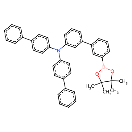 CC1(C)OB(c2cccc(-c3cccc(N(c4ccc(-c5ccccc5)cc4)c4ccc(-c5ccccc5)cc4)c3)c2)OC1(C)C